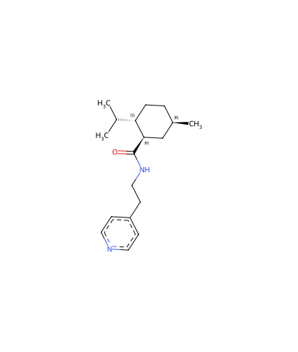 CC(C)[C@@H]1CC[C@@H](C)C[C@H]1C(=O)NCCc1ccncc1